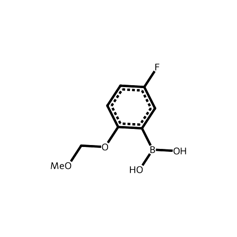 COCOc1ccc(F)cc1B(O)O